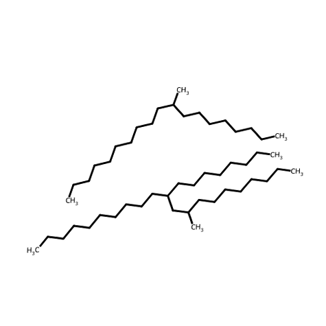 CCCCCCCCCCC(C)CCCCCCCC.CCCCCCCCCCC(CCCCCCCC)CC(C)CCCCCCCC